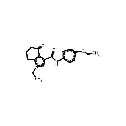 CCOc1ccc(NC(=O)c2cn(CC)c3c2C(=O)CCC3)cc1